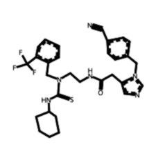 N#Cc1ccc(Cn2cncc2CC(=O)NCCN(Cc2ccccc2C(F)(F)F)C(=S)NC2CCCCC2)cc1